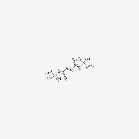 C=CC(O)(O)OC(=O)/C=C/C(=O)OC(O)(O)C=C